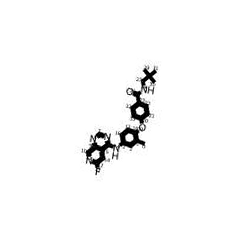 Cc1cc(Nc2ncnc3cnc(F)cc23)ccc1Oc1ccc(C(=O)NCC(C)(C)C)cc1